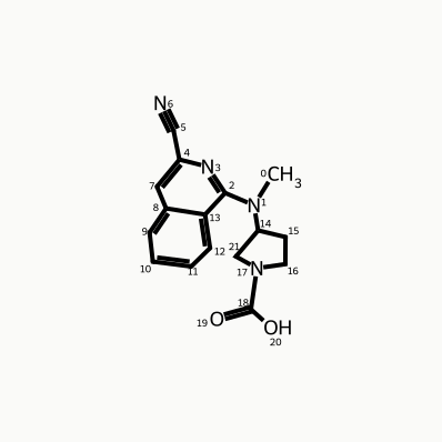 CN(c1nc(C#N)cc2ccccc12)C1CCN(C(=O)O)C1